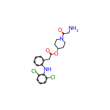 NCC(=O)N1CCC(OC(=O)Cc2ccccc2Nc2c(Cl)cccc2Cl)CC1